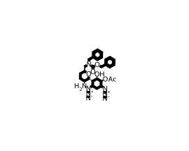 CC(=O)O[C@H]1C(N=[N+]=[N-])CC(N=[N+]=[N-])C([C@H]2O[C@H](CN(Cc3ccccc3)C(=O)OCc3ccccc3)CC[C@H]2N)[C@@H]1O